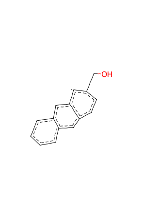 OCc1[c]c2cc3ccccc3cc2cc1